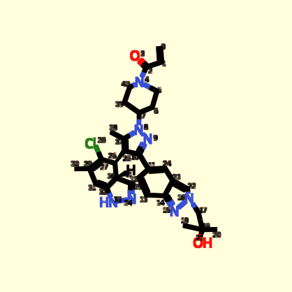 C=CC(=O)N1CCC(n2nc(-c3ccc4nn(CC(C)(C)O)cc4c3)c([C@@H]3C(Cl)=C(C)C=C4NN=C[C@H]43)c2C)CC1